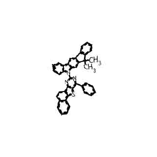 CC1(C)c2ccccc2-c2cc3c4ccccc4n(-c4nc(-c5ccccc5)c5sc6c7ccccc7ccc6c5n4)c3cc21